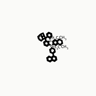 CC1(C)CCC(C)(C)c2cc(N(c3cccc4c3Sc3ccccc3C43C4CC5CC6CC3C64C5)C3C=CC(c4cccc5ccccc45)=CC3)ccc21